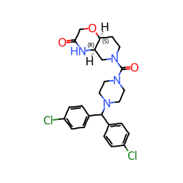 O=C1CO[C@H]2CCN(C(=O)N3CCN(C(c4ccc(Cl)cc4)c4ccc(Cl)cc4)CC3)C[C@H]2N1